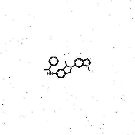 C=C(Nc1ccc2c(c1)C(C)N(c1ccc3ccn(C)c3c1)C2)c1ccccc1